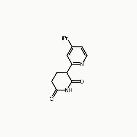 CC(C)c1ccnc(C2CCC(=O)NC2=O)c1